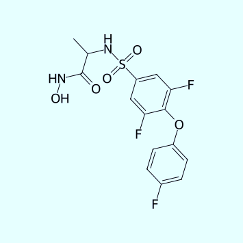 CC(NS(=O)(=O)c1cc(F)c(Oc2ccc(F)cc2)c(F)c1)C(=O)NO